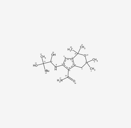 CC1(C)Cc2c(sc(NC(O)C(C)(O)C(C)(C)C)c2C(N)=O)C(C)(C)O1